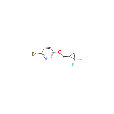 FC1(F)C[C@@H]1COc1ccc(Br)nc1